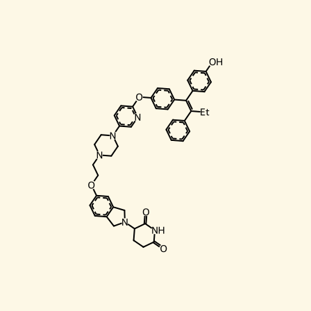 CCC(=C(c1ccc(O)cc1)c1ccc(Oc2ccc(N3CCN(CCOc4ccc5c(c4)CN(C4CCC(=O)NC4=O)C5)CC3)cn2)cc1)c1ccccc1